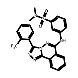 CN(C)S(=O)(=O)c1cccc(Nc2nn3c(-c4ccccc4C(F)(F)F)nnc3c3ccccc23)c1